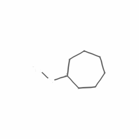 [CH2]C(CC)SC1CCCCCC1